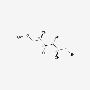 NOC[C@@H](O)[C@@H](O)[C@H](O)[C@H](O)CS